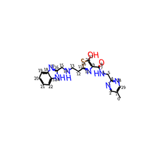 Cc1cnc(CNC(=O)c2nc(CCNCc3nc4ccccc4[nH]3)sc2O)nc1